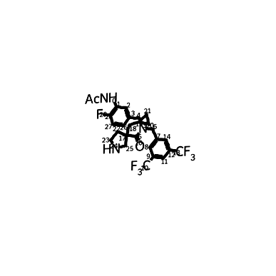 CC(=O)Nc1cc(CN(Cc2cc(C(F)(F)F)cc(C(F)(F)F)c2)C(=O)C2(CC3CC3)CCNC2)ccc1F